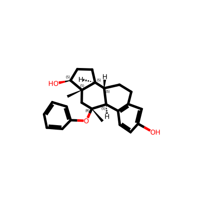 C[C@]12C[C@@](C)(Oc3ccccc3)[C@@H]3c4ccc(O)cc4CC[C@H]3[C@@H]1CC[C@@H]2O